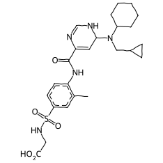 Cc1cc(S(=O)(=O)NCC(=O)O)ccc1NC(=O)C1=CC(N(CC2CC2)C2CCCCC2)NC=N1